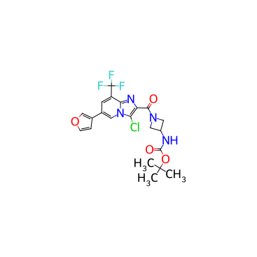 CC(C)(C)OC(=O)NC1CN(C(=O)c2nc3c(C(F)(F)F)cc(-c4ccoc4)cn3c2Cl)C1